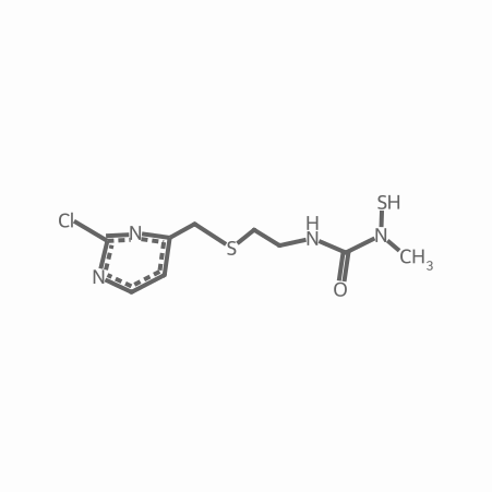 CN(S)C(=O)NCCSCc1ccnc(Cl)n1